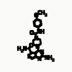 COc1ccc(NC(=O)N2CCN(c3nc(N)nc4csc(C(N)=O)c34)CC2)cc1